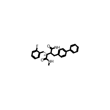 CNC(=O)[C@H](Cc1ccccc1F)C(Cc1ccc(-c2ccccc2)cc1)C(N)=O